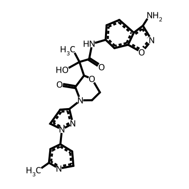 Cc1cc(-n2ccc(N3CCOC(C(C)(O)C(=O)Nc4ccc5c(N)noc5c4)C3=O)n2)ccn1